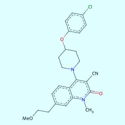 COCCc1ccc2c(N3CCC(Oc4ccc(Cl)cc4)CC3)c(C#N)c(=O)n(C)c2c1